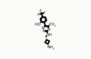 Cc1nc(NC[C@H]2C[C@@H](N)C2)nnc1-c1ccc(C(F)(F)F)cc1O